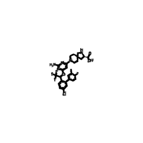 Cc1cc(-c2cc(Cl)ccc2C(Oc2cc(N3CCC4(CC3)CN[C@H](C(=O)O)C4)nc(N)n2)C(F)(F)F)ccc1F